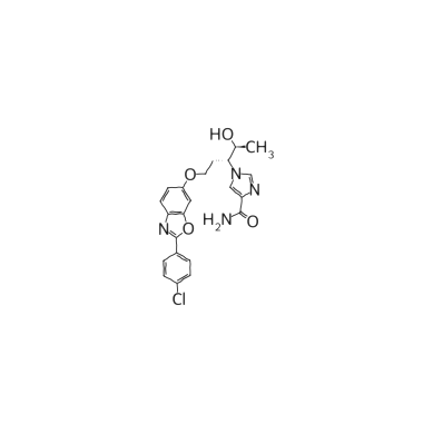 C[C@H](O)[C@@H](CCOc1ccc2nc(-c3ccc(Cl)cc3)oc2c1)n1cnc(C(N)=O)c1